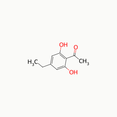 CCc1cc(O)c(C(C)=O)c(O)c1